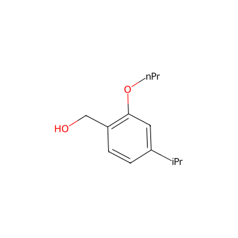 CCCOc1cc(C(C)C)ccc1CO